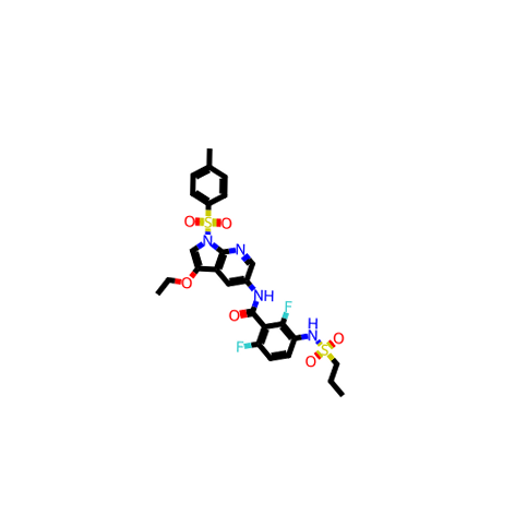 CCCS(=O)(=O)Nc1ccc(F)c(C(=O)Nc2cnc3c(c2)c(OCC)cn3S(=O)(=O)c2ccc(C)cc2)c1F